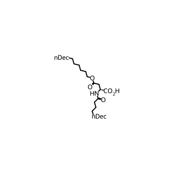 CCCCCCCCCCCCCCCCOC(=O)C[C@H](NC(=O)CCCCCCCCCCCCC)C(=O)O